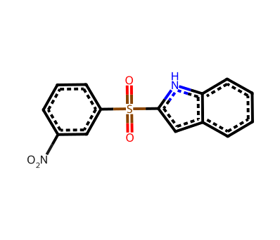 O=[N+]([O-])c1cccc(S(=O)(=O)c2cc3ccccc3[nH]2)c1